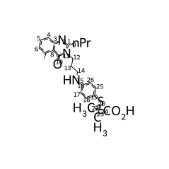 CCCc1nc2ccccc2c(=O)n1CCCNc1ccc(SC(C)(C)C(=O)O)cc1